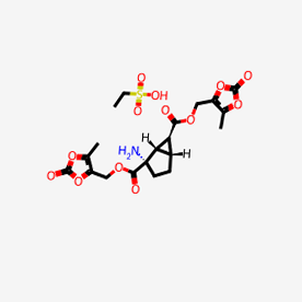 CCS(=O)(=O)O.Cc1oc(=O)oc1COC(=O)[C@H]1[C@@H]2CC[C@@](N)(C(=O)OCc3oc(=O)oc3C)[C@@H]21